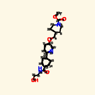 CC(C)OC(=O)N1CCC(COc2ccc(-c3ccc(C(=O)NCCO)cc3)nc2)CC1